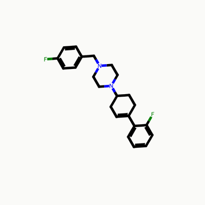 Fc1ccc(CN2CCN(C3CC=C(c4ccccc4F)CC3)CC2)cc1